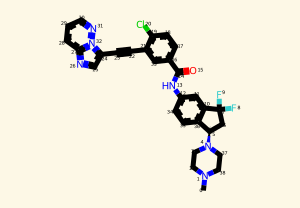 CN1CCN([C@@H]2CC(F)(F)c3cc(NC(=O)c4ccc(Cl)c(C#Cc5cnc6cccnn56)c4)ccc32)CC1